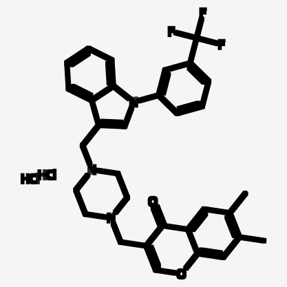 Cc1cc2occ(CN3CCN(Cc4cn(-c5cccc(C(F)(F)F)c5)c5ccccc45)CC3)c(=O)c2cc1C.Cl.Cl